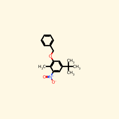 Cc1c(OCc2ccccc2)cc(C(C)(C)C)cc1[N+](=O)[O-]